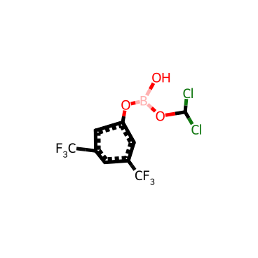 OB(Oc1cc(C(F)(F)F)cc(C(F)(F)F)c1)OC(Cl)Cl